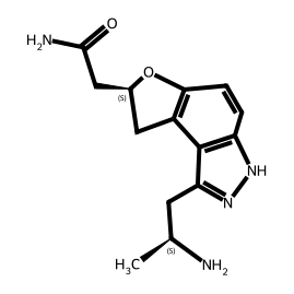 C[C@H](N)Cc1n[nH]c2ccc3c(c12)C[C@@H](CC(N)=O)O3